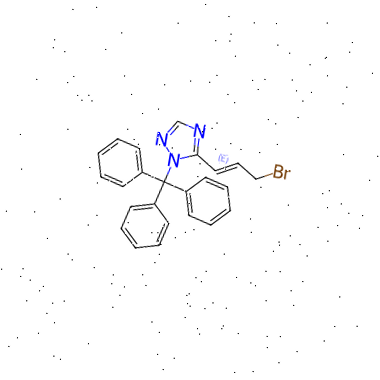 BrC/C=C/c1ncnn1C(c1ccccc1)(c1ccccc1)c1ccccc1